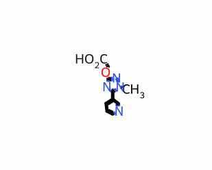 Cn1nc(OCC(=O)O)nc1-c1cccnc1